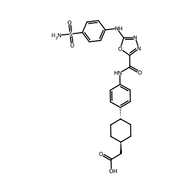 NS(=O)(=O)c1ccc(Nc2nnc(C(=O)Nc3ccc([C@H]4CC[C@H](CC(=O)O)CC4)cc3)o2)cc1